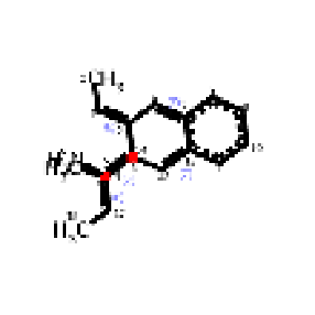 C/C=C(/C=C\N)\C=c1\cccc\c1=C\C/C(C)=C/C